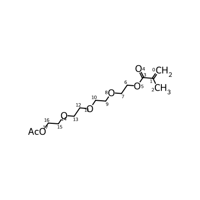 C=C(C)C(=O)OCCOCCOCCOCCOC(C)=O